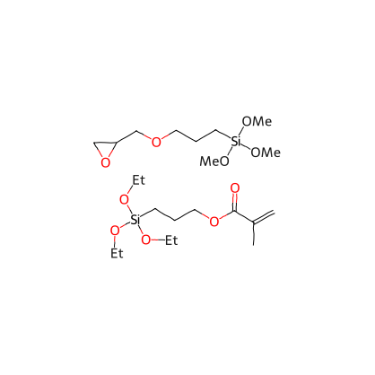 C=C(C)C(=O)OCCC[Si](OCC)(OCC)OCC.CO[Si](CCCOCC1CO1)(OC)OC